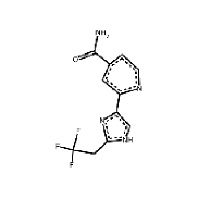 NC(=O)c1ccnc(-c2c[nH]c(CC(F)(F)F)n2)c1